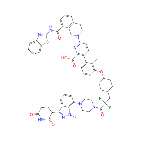 Cc1c(OC2CCC(CC(F)(F)C(=O)N3CCN(c4cccc5c(C6CCC(=O)NC6=O)nn(C)c45)CC3)CC2)cccc1-c1ccc(N2CCc3cccc(C(=O)Nc4nc5ccccc5s4)c3C2)nc1C(=O)O